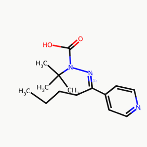 CCCC/C(=N\N(C(=O)O)C(C)(C)C)c1ccncc1